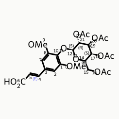 COc1cc(/C=C/C(=O)O)cc(OC)c1O[C@@H]1O[C@H](COC(C)=O)[C@H](OC(C)=O)[C@H](OC(C)=O)[C@H]1OC(C)=O